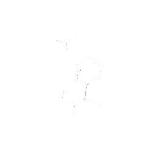 CCC(Oc1cccc2c1OCC(Br)C2=O)C(=O)O